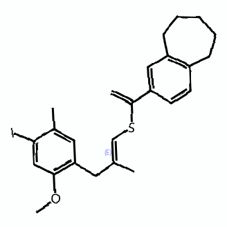 C=C(S/C=C(\C)Cc1cc(C)c(I)cc1OC)c1ccc2c(c1)CCCCC2